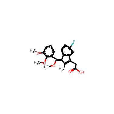 COC(=C1C(C)=C(CC(=O)O)c2cc(F)ccc21)c1cccc(OC)c1OC